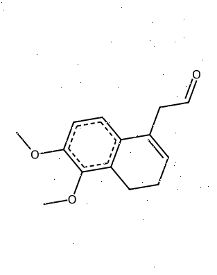 COc1ccc2c(c1OC)CCC=C2CC=O